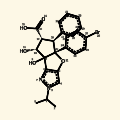 CC(C)n1cc2c(n1)C1(O)[C@H](O)[C@H](C(=O)O)[C@@H](c3ccccc3)[C@]1(c1ccc(Br)cc1)O2